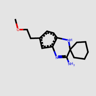 COCCc1ccc2c(c1)N=C(N)C1(CCCCC1)N2